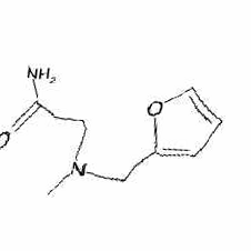 CN(CC(N)=O)Cc1ccco1